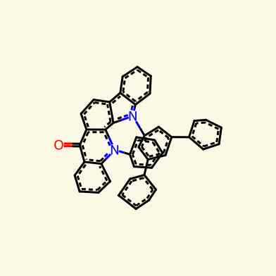 O=c1c2ccccc2n(-c2ccccc2)c2c1ccc1c3ccccc3n(-c3cc(-c4ccccc4)cc(-c4ccccc4)c3)c12